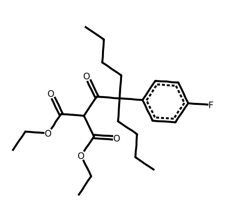 CCCCC(CCCC)(C(=O)C(C(=O)OCC)C(=O)OCC)c1ccc(F)cc1